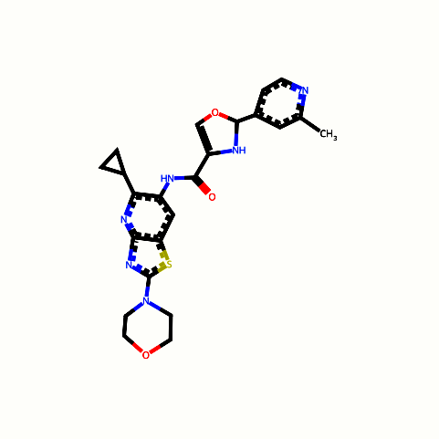 Cc1cc(C2NC(C(=O)Nc3cc4sc(N5CCOCC5)nc4nc3C3CC3)=CO2)ccn1